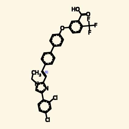 CCn1cc(-c2ccc(Cl)cc2Cl)nc1/C=C/c1ccc(-c2ccc(Oc3ccc(C(F)(F)F)c(C(=O)O)c3)cc2)cc1